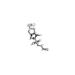 O=C(O)N1Cc2nn(S(=O)(=O)CCCCl)c(I)c2C1